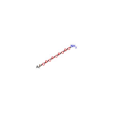 CC(=O)SCCOCCOCCOCCOCCOCCOCCOCCOCCOCCN